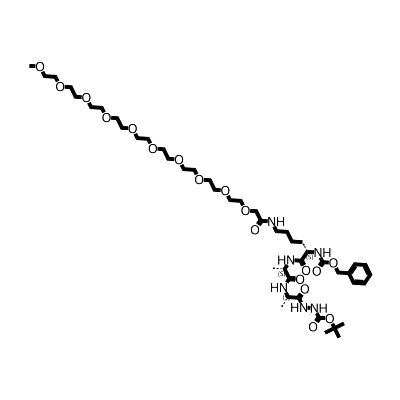 COCCOCCOCCOCCOCCOCCOCCOCCOCCOCC(=O)NCCCC[C@H](NC(=O)OCc1ccccc1)C(=O)N[C@@H](C)C(=O)N[C@@H](C)C(=O)NNC(=O)OC(C)(C)C